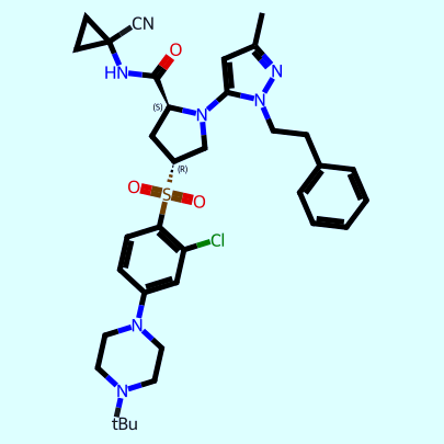 Cc1cc(N2C[C@H](S(=O)(=O)c3ccc(N4CCN(C(C)(C)C)CC4)cc3Cl)C[C@H]2C(=O)NC2(C#N)CC2)n(CCc2ccccc2)n1